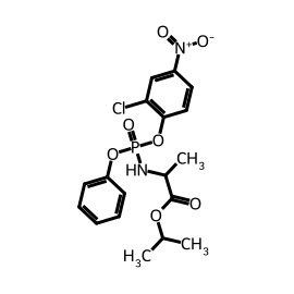 CC(C)OC(=O)C(C)NP(=O)(Oc1ccccc1)Oc1ccc([N+](=O)[O-])cc1Cl